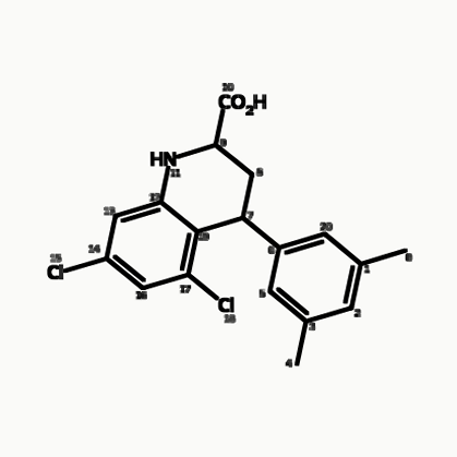 Cc1cc(C)cc(C2CC(C(=O)O)Nc3cc(Cl)cc(Cl)c32)c1